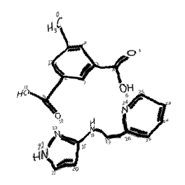 Cc1cc(C(=O)O)cc(C(=O)O)c1.c1ccc(CNc2cc[nH]n2)nc1